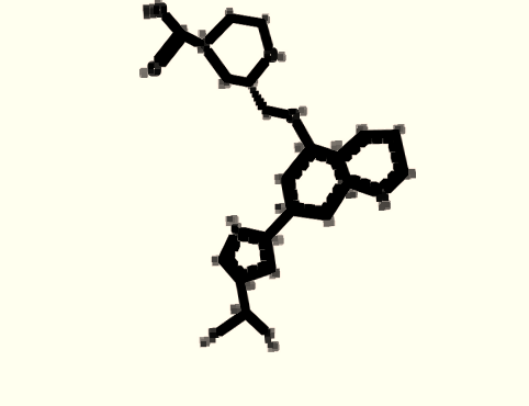 O=C(O)N1CCO[C@H](COc2cc(-c3cc(C(F)F)cs3)cc3ncccc23)C1